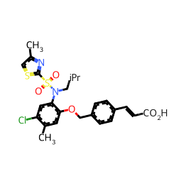 Cc1csc(S(=O)(=O)N(CC(C)C)c2cc(Cl)c(C)cc2OCc2ccc(C=CC(=O)O)cc2)n1